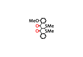 COc1ccccc1C(=O)C(C(=O)c1ccccc1)C(SC)SC